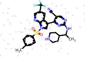 Cc1ccc(S(=O)(=O)n2cc(-c3nc(NC(C)C4CCNCC4)ncc3C#N)c3cc(C(F)(F)F)cnc32)cc1